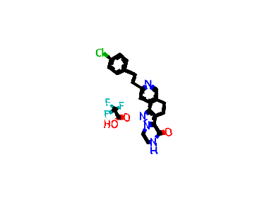 O=C(O)C(F)(F)F.O=C1NCCn2nc3c(c21)CCc1cnc(CCc2ccc(Cl)cc2)cc1-3